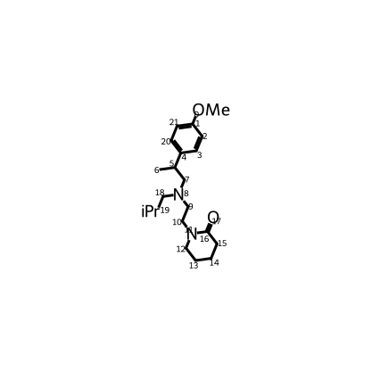 COc1ccc(C(C)CN(CCN2CCCCC2=O)CC(C)C)cc1